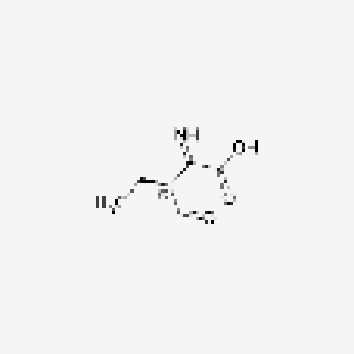 CC[C@H](C=O)C(=N)C(=O)O